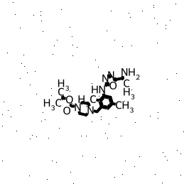 Cc1cc(CN2CCN(C(=O)OC(C)C)CC2)c(C)c(Nc2nnc(C(C)N)o2)c1